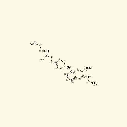 COc1cc2c(Nc3ccc(/C=C/C(=O)NCCSC)cc3)ncnc2cc1OCC(F)(F)F